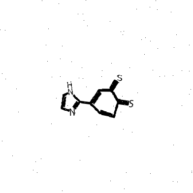 S=C1C=CC(c2ncc[nH]2)=CC1=S